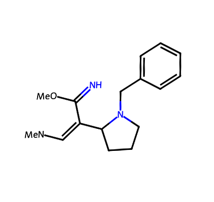 CN/C=C(\C(=N)OC)C1CCCN1Cc1ccccc1